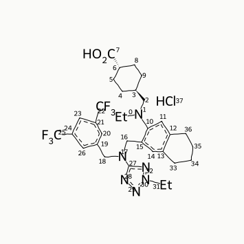 CCN(C[C@H]1CC[C@H](C(=O)O)CC1)c1cc2c(cc1CN(Cc1cc(C(F)(F)F)cc(C(F)(F)F)c1)c1nnn(CC)n1)CCCC2.Cl